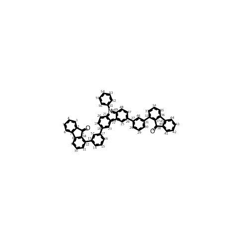 O=C1c2ccccc2-c2cccc(-c3cccc(-c4ccc5c(c4)c4cc(-c6cccc(-c7cccc8c7C(=O)c7ccccc7-8)c6)ccc4n5-c4ccccc4)c3)c21